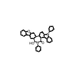 O=C1c2c(ccc3c2c2ccccc2n3-c2ccccc2)-c2cc3oc4ccccc4c3cc2C(O)N1c1ccccc1